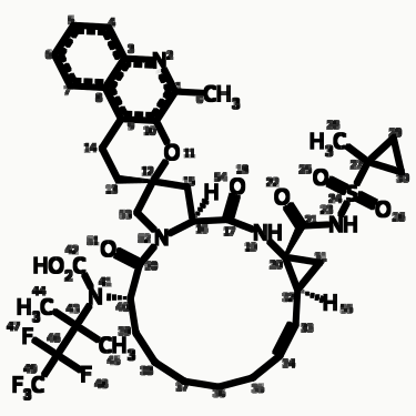 Cc1nc2ccccc2c2c1O[C@]1(CC2)C[C@H]2C(=O)N[C@]3(C(=O)NS(=O)(=O)C4(C)CC4)C[C@H]3/C=C\CCCCC[C@H](N(C(=O)O)C(C)(C)C(F)(F)C(F)(F)F)C(=O)N2C1